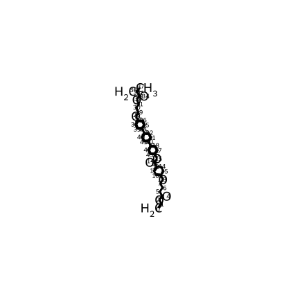 C=COC(=O)CCCOC1=CC=C(C(=O)Oc2ccc(-c3ccc(-c4ccc(OCCCOC(=O)C(=C)C)cc4)cc3)cc2)CC1